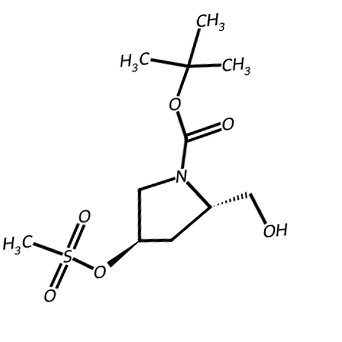 CC(C)(C)OC(=O)N1C[C@H](OS(C)(=O)=O)C[C@H]1CO